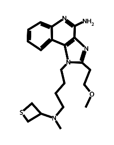 COCCc1nc2c(N)nc3ccccc3c2n1CCCCN(C)C1CSC1